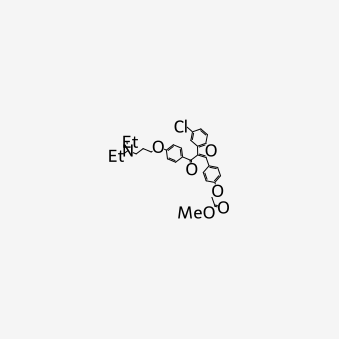 CCN(CC)CCCOc1ccc(C(=O)c2c(-c3ccc(OCC(=O)OC)cc3)oc3ccc(Cl)cc23)cc1